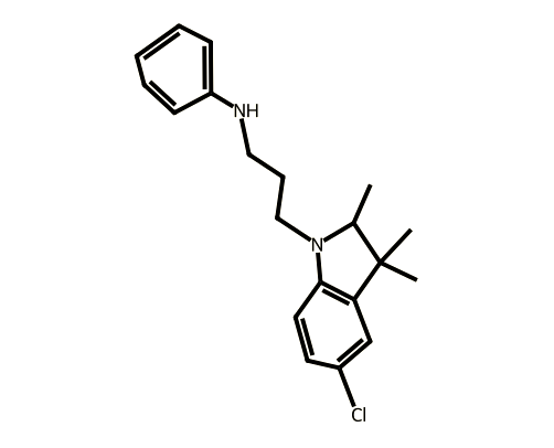 CC1N(CCCNc2ccccc2)c2ccc(Cl)cc2C1(C)C